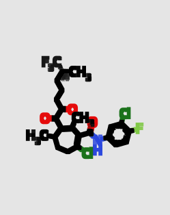 CC1=C(C(=O)C(=O)CCC[C@@H](C)C(F)(F)F)C(C)CCC(Cl)=C1C(=O)Nc1ccc(F)c(Cl)c1